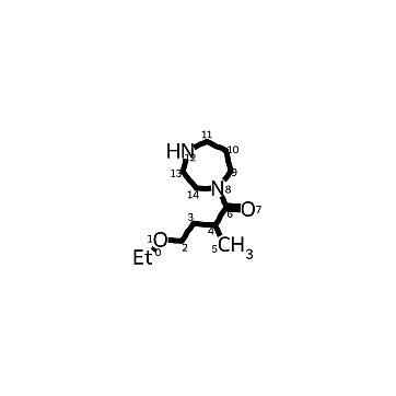 CCOCCC(C)C(=O)N1CCCNCC1